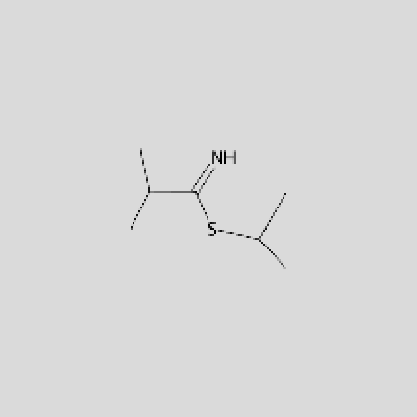 CC(C)SC(=N)C(C)C